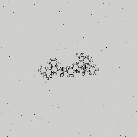 CN(Cc1ccccc1)C[C@@H](NC(=O)c1ccc2nc(NC(=O)c3ccccc3-c3ccc(C(F)(F)F)cc3)ccc2c1)c1ccccc1